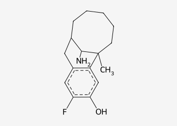 CC12CCCCCC(Cc3cc(F)c(O)cc31)C2N